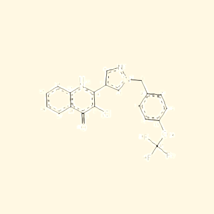 O=c1c(Cl)c(-c2cnn(Cc3ccc(OC(F)(F)F)cc3)c2)[nH]c2ccccc12